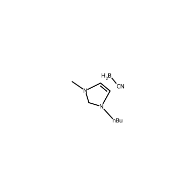 BC#N.CCCCN1C=CN(C)C1